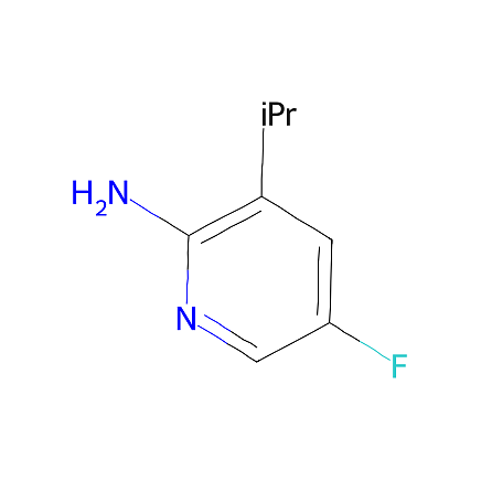 CC(C)c1cc(F)cnc1N